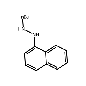 CCCCNNc1cccc2ccccc12